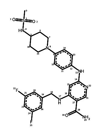 CS(=O)(=O)NC1CCN(c2ccc(Nc3cc(NCc4cc(F)cc(F)c4)c(C(N)=O)cn3)cc2)CC1